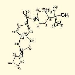 CC(C)(O)C1CCN(C(=O)c2ccc3c(c2)CCN(C2CCCC2)C3)CC1